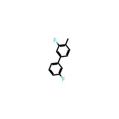 Cc1ccc(-c2cccc(F)c2)cc1F